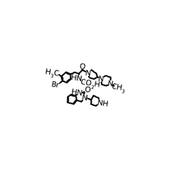 Cc1cc(CC(NC(=O)O)C(=O)N2CCC(N3CCN(C)CC3)CC2)ccc1Br.O=C1Nc2ccccc2CN1C1CCNCC1